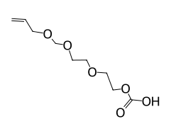 C=CCOCOCCOCCOC(=O)O